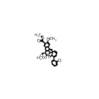 COC(=O)c1cc2c(cc1OC)C(=CC1(c3ccc(C=O)c(OC)n3)C=CC=C(c3ccccc3Cl)C1Cl)CC2